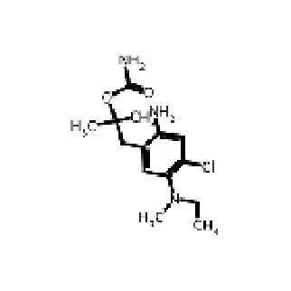 CCN(C)c1cc(CC(C)(C)OC(N)=O)c(N)cc1Cl